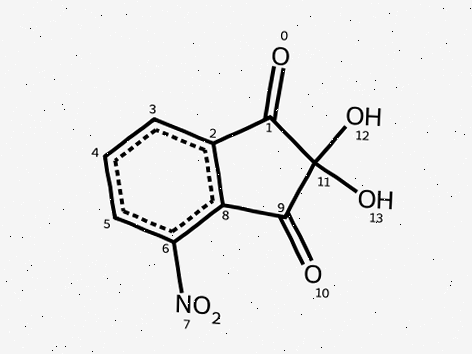 O=C1c2cccc([N+](=O)[O-])c2C(=O)C1(O)O